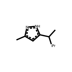 Cc1cc(C(C)C(C)C)[nH]n1